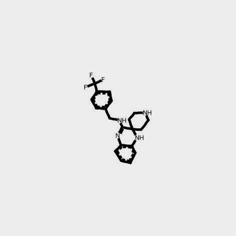 FC(F)(F)c1ccc(CNC2=Nc3ccccc3NC23CCNCC3)cc1